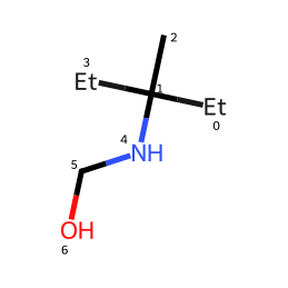 CCC(C)(CC)NCO